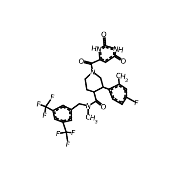 Cc1cc(F)ccc1C1CN(C(=O)c2cc(=O)[nH]c(=O)[nH]2)CCC1C(=O)N(C)Cc1cc(C(F)(F)F)cc(C(F)(F)F)c1